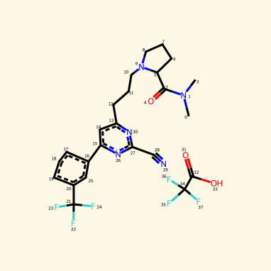 CN(C)C(=O)C1CCCN1CCCc1cc(-c2cccc(C(F)(F)F)c2)nc(C#N)n1.O=C(O)C(F)(F)F